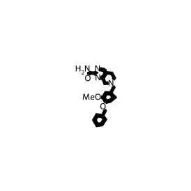 COc1cc(CN2CCc3[c]nc(C(N)=O)nc3C2)ccc1OCc1ccccc1